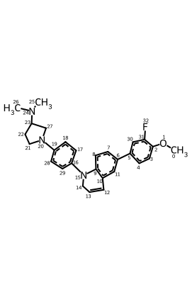 COc1ccc(-c2ccc3c(c2)C=CCN3c2ccc(N3CCC(N(C)C)C3)cc2)cc1F